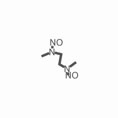 CN(CCN(C)N=O)N=O